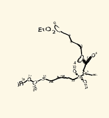 CCOC(=O)CCCOC(=O)N(C)S(=O)(=O)CCCSOOC(C)C